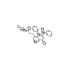 O=C(CCc1cncc2c(=O)cc(Nc3ccccc3)n(-c3ccccc3)c12)NCC1CC1